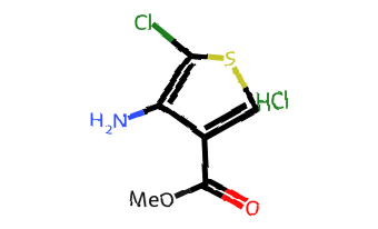 COC(=O)c1csc(Cl)c1N.Cl